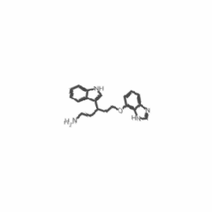 NCCC(CCOc1cccc2nc[nH]c12)c1c[nH]c2ccccc12